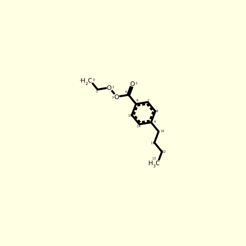 [CH2]COOC(=O)c1ccc(CCCC)cc1